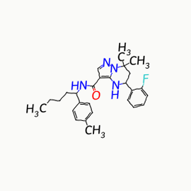 CCCCC(NC(=O)c1cnn2c1NC(c1ccccc1F)CC2(C)C)c1ccc(C)cc1